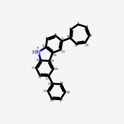 C1=CCC=C(c2ccc3[nH]c4ccc(-c5ccccc5)cc4c3c2)C=C1